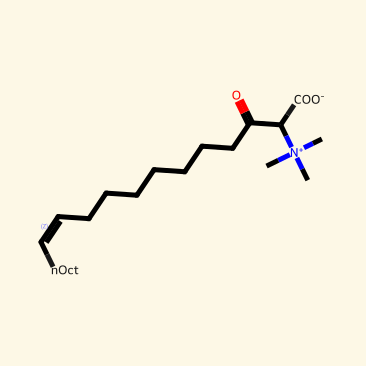 CCCCCCCC/C=C\CCCCCCCC(=O)C(C(=O)[O-])[N+](C)(C)C